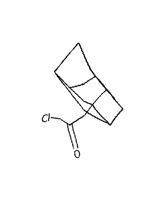 O=C(Cl)C12C3C4C5C3C1C5C42